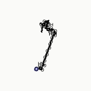 CCCCCOc1cc2c(cc1OC)C(=O)N1C=C(C)C[C@H]1[C@H](O)N2C(=O)OCc1ccc(NC(=O)[C@H](C)NC(=O)[C@@H](NC(=O)CCOCCOCCOCCOCCOCCOCCOCCOCCNC(=O)CCN2C(=O)CC(C3=C/C=C\C=C/C=C\3)C2=O)C(C)C)cc1